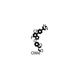 COC(=O)C[C@@H]1COc2cc(O[C@@H]3CCc4c(-c5ccc(-c6cncnc6)cc5)c(C(F)(F)F)cc(F)c43)ccc21